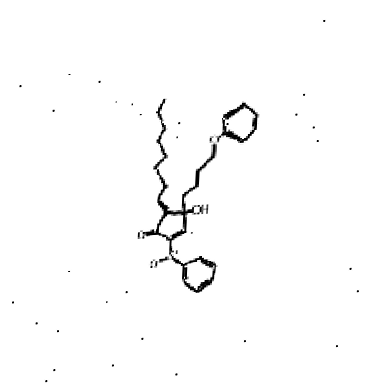 CCCCCCCC=C1C(=O)C([S+]([O-])c2ccccc2)=CC1(O)CCCCOc1ccccc1